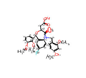 COc1ccc(CN2C(=O)C(CC(=O)O)OC(c3cccc(OC)c3OC)c3cc(F)ccc32)c(OC)c1